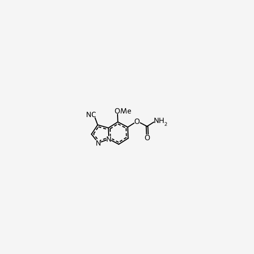 COc1c(OC(N)=O)ccn2ncc(C#N)c12